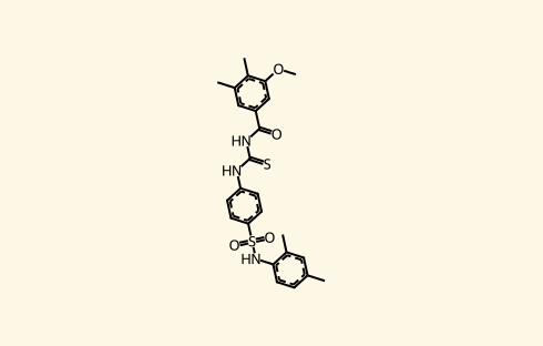 COc1cc(C(=O)NC(=S)Nc2ccc(S(=O)(=O)Nc3ccc(C)cc3C)cc2)cc(C)c1C